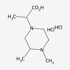 CC1CN(C(C)C(=O)O)CCN1C.Cl.Cl